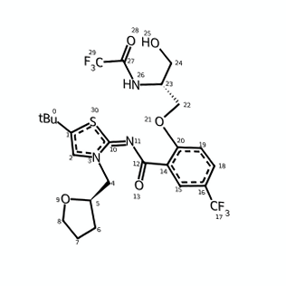 CC(C)(C)c1cn(C[C@H]2CCCO2)c(=NC(=O)c2cc(C(F)(F)F)ccc2OC[C@@H](CO)NC(=O)C(F)(F)F)s1